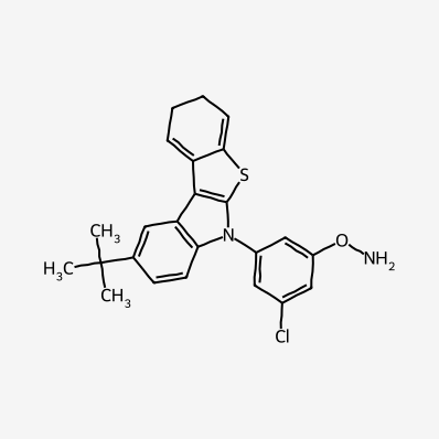 CC(C)(C)c1ccc2c(c1)c1c3c(sc1n2-c1cc(Cl)cc(ON)c1)=CCCC=3